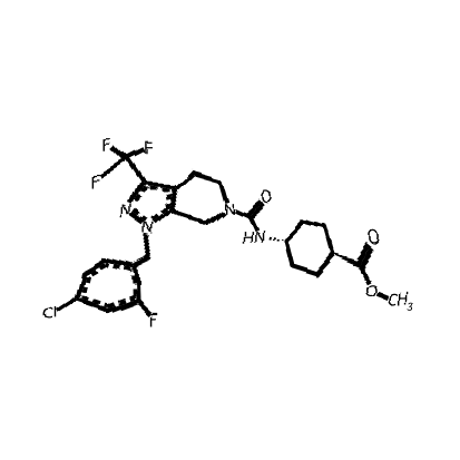 COC(=O)[C@H]1CC[C@H](NC(=O)N2CCc3c(C(F)(F)F)nn(Cc4ccc(Cl)cc4F)c3C2)CC1